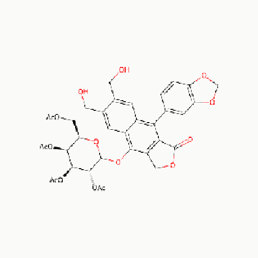 CC(=O)OC[C@H]1OC(Oc2c3c(c(-c4ccc5c(c4)OCO5)c4cc(CO)c(CO)cc24)C(=O)OC3)[C@H](OC(C)=O)[C@@H](OC(C)=O)[C@H]1OC(C)=O